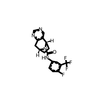 O=C(Nc1ccc(F)c(C(F)(F)F)c1)N1[C@@H]2CC[C@H]1c1cncnc1C2